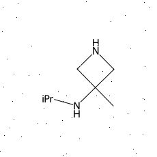 CC(C)NC1(C)CNC1